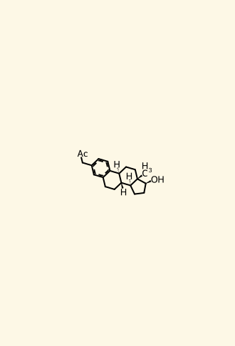 CC(=O)Cc1ccc2c(c1)CC[C@@H]1[C@@H]2CC[C@]2(C)[C@@H](O)CC[C@@H]12